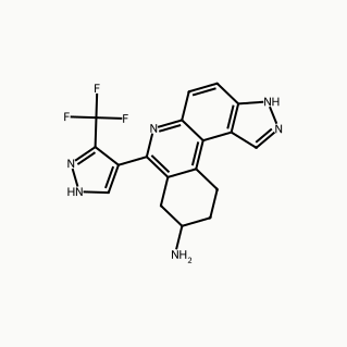 NC1CCc2c(c(-c3c[nH]nc3C(F)(F)F)nc3ccc4[nH]ncc4c23)C1